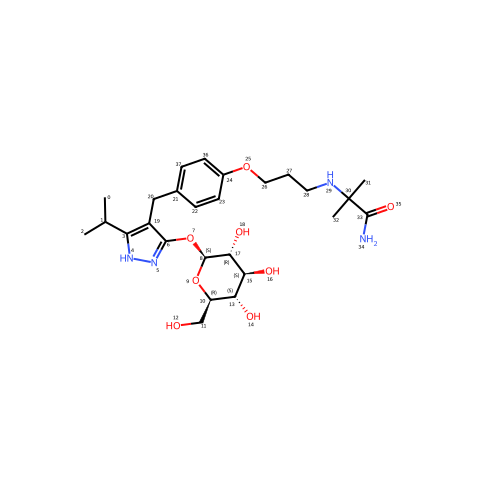 CC(C)c1[nH]nc(O[C@@H]2O[C@H](CO)[C@@H](O)[C@H](O)[C@H]2O)c1Cc1ccc(OCCCNC(C)(C)C(N)=O)cc1